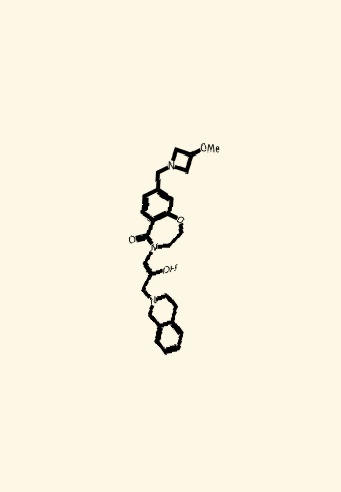 COC1CN(Cc2ccc3c(c2)OCCN(CC(O)CN2CCc4ccccc4C2)C3=O)C1